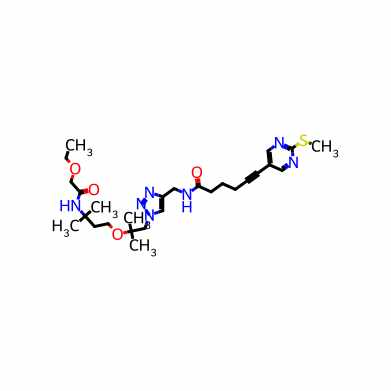 CCOCC(=O)NC(C)(C)CCOC(C)(C)Cn1cc(CNC(=O)CCCC#Cc2cnc(SC)nc2)nn1